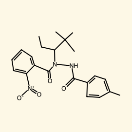 CCC(N(NC(=O)c1ccc(C)cc1)C(=O)c1ccccc1[N+](=O)[O-])C(C)(C)C